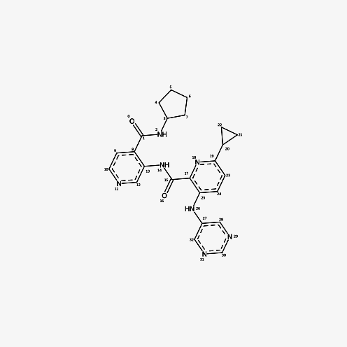 O=C(NC1CCCC1)c1ccncc1NC(=O)c1nc(C2CC2)ccc1Nc1cncnc1